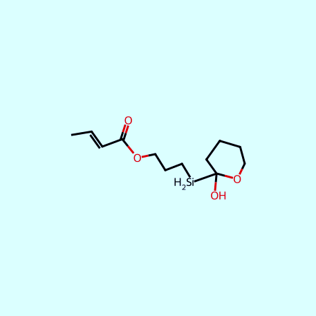 CC=CC(=O)OCCC[SiH2]C1(O)CCCCO1